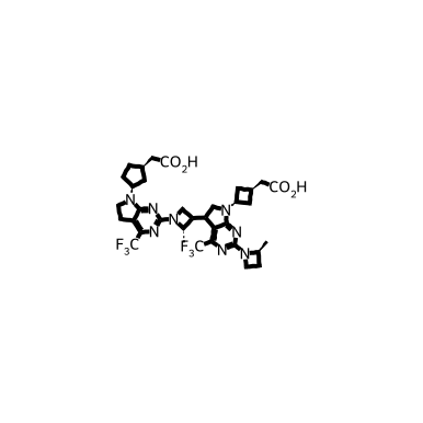 C[C@H]1CCN1c1nc2c(c(C(F)(F)F)n1)C(C1CN(c3nc4c(c(C(F)(F)F)n3)CCN4[C@@H]3CC[C@@H](CC(=O)O)C3)[C@H]1C)CN2[C@H]1C[C@H](CC(=O)O)C1